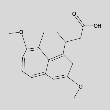 COC1=CC2=CC=CC(OC)=C3CCC(CC(=O)O)C(=C23)C1